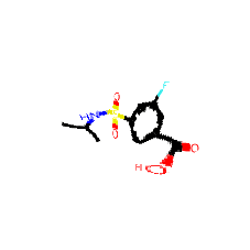 CC(C)NS(=O)(=O)c1cc(F)cc(C(=O)O)c1